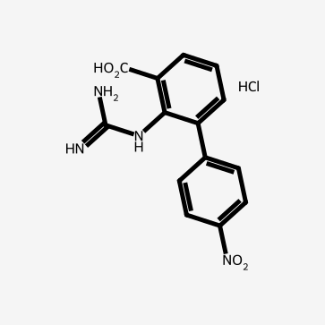 Cl.N=C(N)Nc1c(C(=O)O)cccc1-c1ccc([N+](=O)[O-])cc1